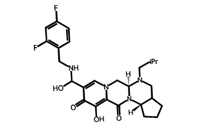 CC(C)CN1CC2CCC[C@@H]2N2C(=O)c3c(O)c(=O)c(C(O)NCc4ccc(F)cc4F)cn3C[C@@H]12